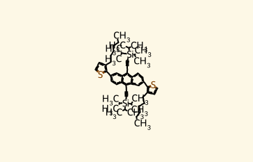 CCCCCCc1ccsc1-c1ccc2c(C#C[Si](C(C)C)(C(C)C)C(C)C)c3cc(-c4sccc4CCCCCC)ccc3c(C#C[Si](C(C)C)(C(C)C)C(C)C)c2c1